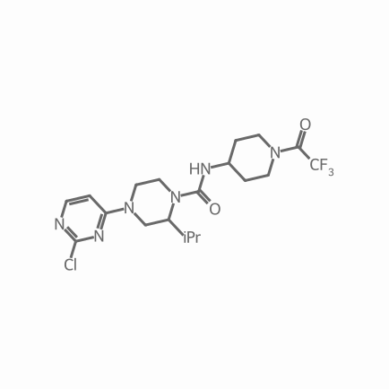 CC(C)C1CN(c2ccnc(Cl)n2)CCN1C(=O)NC1CCN(C(=O)C(F)(F)F)CC1